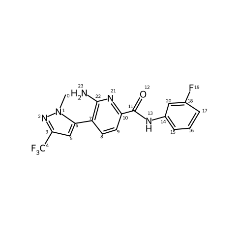 Cn1nc(C(F)(F)F)cc1-c1ccc(C(=O)Nc2cccc(F)c2)nc1N